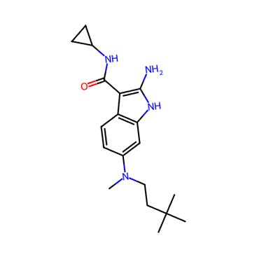 CN(CCC(C)(C)C)c1ccc2c(C(=O)NC3CC3)c(N)[nH]c2c1